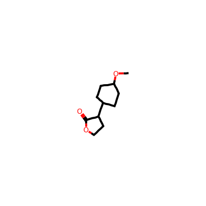 COC1CCC(C2CCOC2=O)CC1